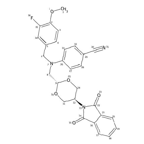 COc1ccc(CN(C[C@H]2OC[C@H](N3C(=O)c4ccccc4C3=O)CO2)c2ccc(C#N)cc2)cc1F